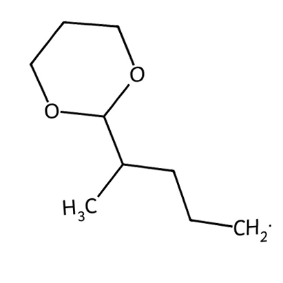 [CH2]CCC(C)C1OCCCO1